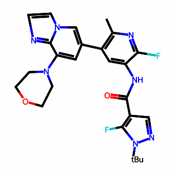 Cc1nc(F)c(NC(=O)c2cnn(C(C)(C)C)c2F)cc1-c1cc(N2CCOCC2)c2nccn2c1